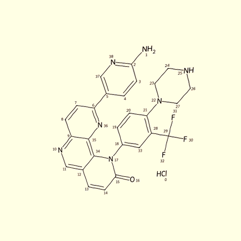 Cl.Nc1ccc(-c2ccc3ncc4ccc(=O)n(-c5ccc(N6CCNCC6)c(C(F)(F)F)c5)c4c3n2)cn1